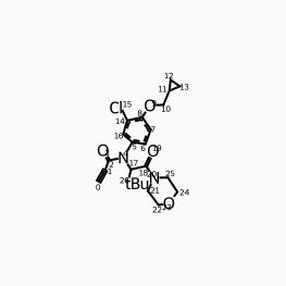 C#CC(=O)N(c1ccc(OCC2CC2)c(Cl)c1)C(C(=O)N1CCOCC1)C(C)(C)C